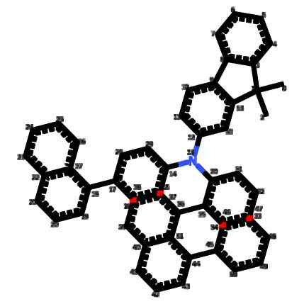 CC1(C)c2ccccc2-c2ccc(N(c3ccc(-c4cccc5ccccc45)cc3)c3ccccc3-c3cccc4cccc(-c5ccccc5)c34)cc21